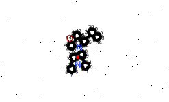 c1ccc(-n2c3ccccc3c3ccccc32)c(-c2ccc(N(c3ccc(-c4cccc5ccccc45)cc3)c3cccc4oc5ccccc5c34)cc2)c1